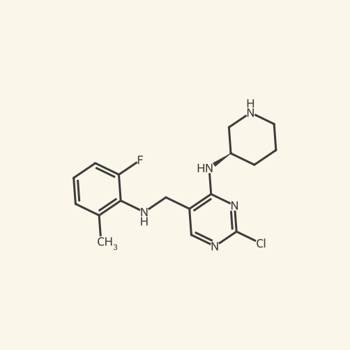 Cc1cccc(F)c1NCc1cnc(Cl)nc1N[C@@H]1CCCNC1